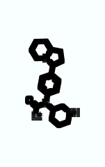 CCC(=O)N(c1ccc(C2CCC3CCCCN32)cc1)C1CCCNC1